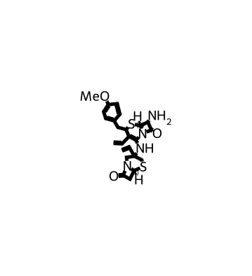 C=CC1=C(NC2(C=C)CS[C@@H]3CC(=O)N3C2)N2C(=O)C(N)[C@H]2SC1Cc1ccc(OC)cc1